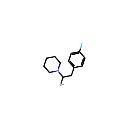 CC(C)C(Cc1ccc(F)cc1)N1CCCCC1